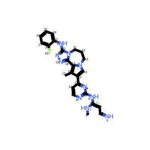 CN/C(=C\C=N)Nc1nccc(-c2cn3c(c2C)-c2nnc(Nc4ccccc4F)n2CCC3)n1